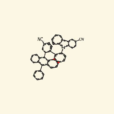 N#Cc1ccc(-c2ccccc2-n2c3ccccc3c3cc(C#N)ccc32)c(-c2c3ccccc3c(-c3ccccc3)c3ccccc23)c1